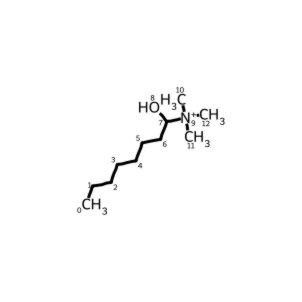 CCCCCCCC(O)[N+](C)(C)C